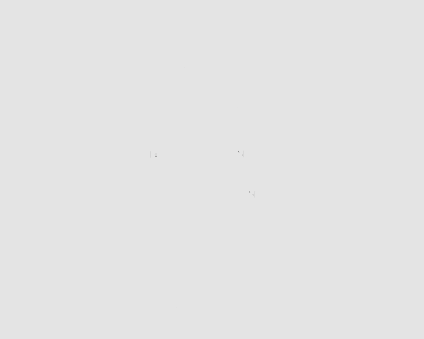 CCOC(=O)CCCCCn1cc[n+](CC(=O)c2ccc(C)cc2)c1.[Br-]